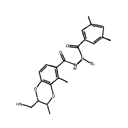 Cc1cc(C)cc(C(=O)N(NC(=O)c2ccc3c(c2C)OC(C)C(CS)O3)C(C)(C)C)c1